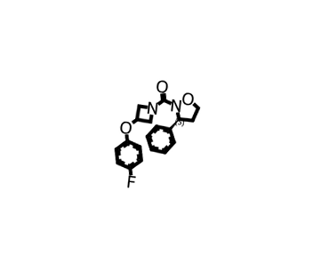 O=C(N1CC(Oc2ccc(F)cc2)C1)N1OCC[C@H]1c1ccccc1